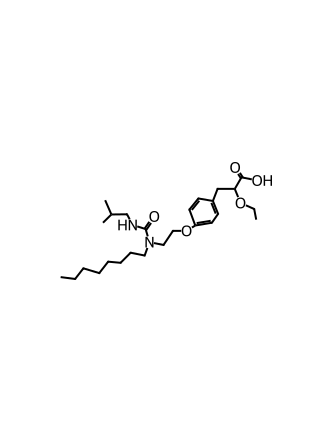 CCCCCCCCN(CCOc1ccc(CC(OCC)C(=O)O)cc1)C(=O)NCC(C)C